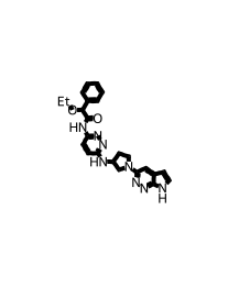 CCOC(C(=O)Nc1ccc(NC2CCN(c3cc4cc[nH]c4nn3)C2)nn1)c1ccccc1